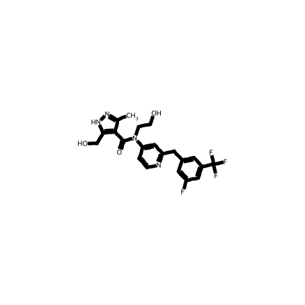 Cc1n[nH]c(CO)c1C(=O)N(CCO)c1ccnc(Cc2cc(F)cc(C(F)(F)F)c2)c1